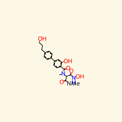 CNC(=O)C(C(=O)NO)N(C)C(=O)c1ccc(-c2ccc(CCCO)cc2)cc1O